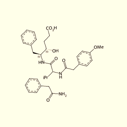 COc1ccc(CC(=O)NC(C(=O)N[C@@H](Cc2ccccc2)[C@@H](O)CCC(=O)O)C(C)C)cc1.NC(=O)Cc1ccccc1